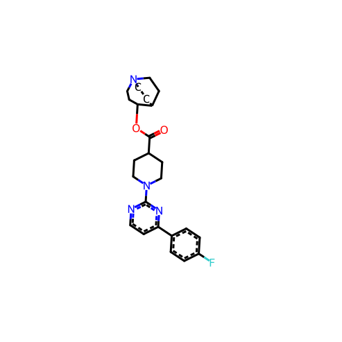 O=C(OC1CCN2CCC1CC2)C1CCN(c2nccc(-c3ccc(F)cc3)n2)CC1